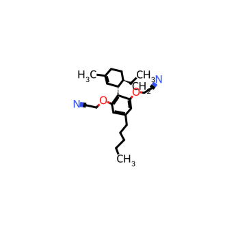 C=C(C)[C@@H]1CCC(C)=C[C@H]1c1c(OCC#N)cc(CCCCC)cc1OCC#N